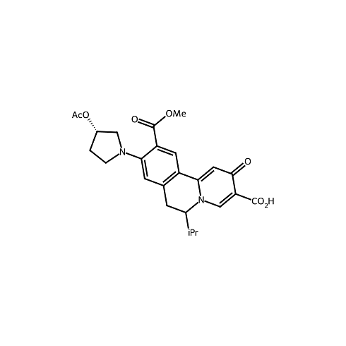 COC(=O)c1cc2c(cc1N1CC[C@H](OC(C)=O)C1)CC(C(C)C)n1cc(C(=O)O)c(=O)cc1-2